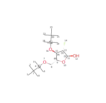 CC(C)(C)[Si](C)(C)OC[C@H]1O[C@H](O)[C@@H](F)[C@@H]1O[Si](C)(C)C(C)(C)C